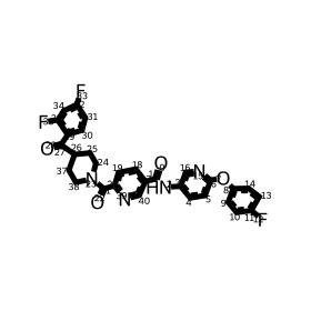 O=C(Nc1ccc(Oc2ccc(F)cc2)nc1)c1ccc(C(=O)N2CCC(C(=O)c3ccc(F)cc3F)CC2)nc1